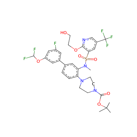 CN(c1cc(-c2cc(F)cc(OC(F)F)c2)ccc1N1CCN(C(=O)OC(C)(C)C)CC1)S(=O)(=O)c1cc(C(F)(F)F)cnc1OCCO